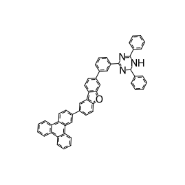 c1ccc(C2=NC(c3cccc(-c4ccc5c(c4)oc4ccc(-c6ccc7c8ccccc8c8ccccc8c7c6)cc45)c3)=NC(c3ccccc3)N2)cc1